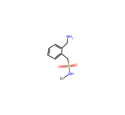 CCNS(=O)(=O)Cc1ccccc1CN